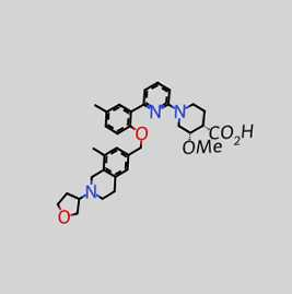 CO[C@@H]1CN(c2cccc(-c3cc(C)ccc3OCc3cc(C)c4c(c3)CCN(C3CCOC3)C4)n2)CC[C@@H]1C(=O)O